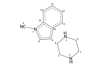 C1CNCCN1.N#Cn1ccc2ccccc21